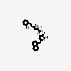 O=C(Oc1cc(Cc2cccc3ccccc23)n[nH]c1=O)c1cc(CCc2ccccc2Cl)n[nH]1